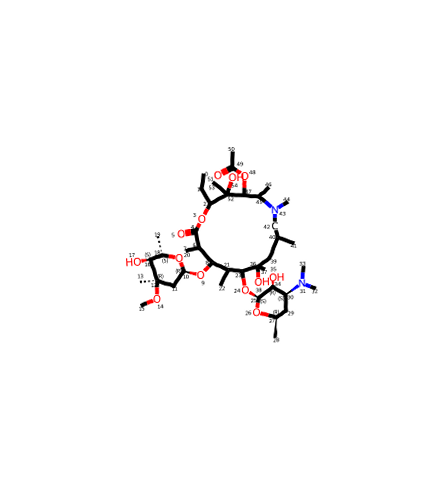 CCC1OC(=O)C(C)C(O[C@H]2C[C@@](C)(OC)[C@@H](O)[C@H](C)O2)C(C)C(O[C@@H]2O[C@H](C)C[C@H](N(C)C)[C@H]2O)C(C)(O)CC(C)CN(C)C(C)C(OC(C)=O)C1(C)O